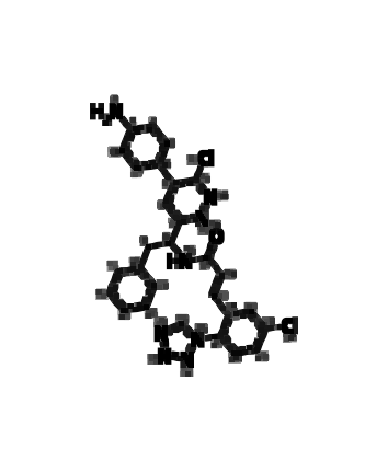 Nc1ccc(-c2cc(C(Cc3ccccc3)NC(=O)/C=C/c3cc(Cl)ccc3-n3cnnn3)nnc2Cl)cc1